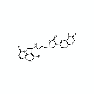 O=C1CSc2ccc(N3C[C@H](CCCN[C@@H]4Cn5c(=O)ccc6ccc(F)c4c65)OC3=O)cc2N1